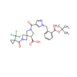 CC(C)(C)OC(=O)c1ccccc1Cn1cc(C(=O)N2C[C@@H](C(=O)O)C3(C2)CN(C(=O)C2(C(F)(F)F)CC2)C3)cn1